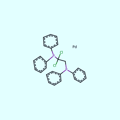 ClC(Cl)(CP(c1ccccc1)c1ccccc1)P(c1ccccc1)c1ccccc1.[Pd]